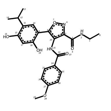 CCNC(=O)c1noc(-c2cc(C(C)C)c(O)cc2O)c1NC(=O)c1ccc(OC)cc1